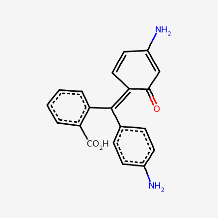 NC1=CC(=O)/C(=C(\c2ccc(N)cc2)c2ccccc2C(=O)O)C=C1